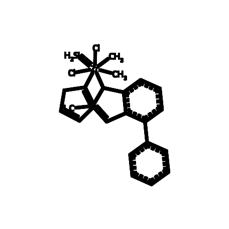 CC1=Cc2c(-c3ccccc3)cccc2[CH]1[Zr]([CH3])([CH3])(=[SiH2])([Cl])([Cl])[C]1=CC=CC1